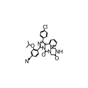 CC(C)Oc1cc(C#N)ccc1C1=N[C@@H](c2ccc(Cl)cc2)[C@@H](c2ccccn2)N1C(=O)N1CCNC(=O)C1